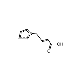 O=C(O)C=CCn1cccc1